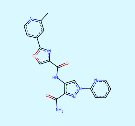 Cc1cc(-c2nc(C(=O)Nc3cn(-c4ccccn4)nc3C(N)=O)co2)ccn1